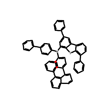 c1ccc(-c2ccc(N(c3ccc(-c4cccc5cccc(-c6ccccc6)c45)cc3)c3cc(-c4ccccc4)cc4c3sc3c(-c5ccccc5)cccc34)cc2)cc1